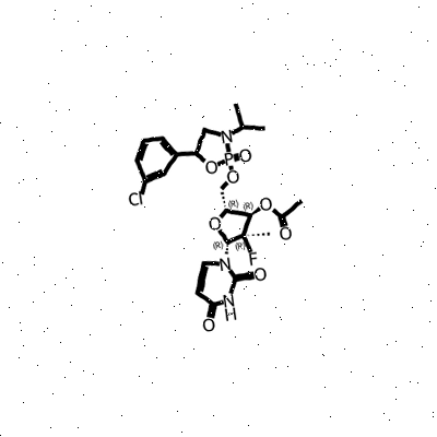 CC(=O)O[C@@H]1[C@@H](COP2(=O)OC(c3cccc(Cl)c3)CN2C(C)C)O[C@@H](n2ccc(=O)[nH]c2=O)[C@]1(C)F